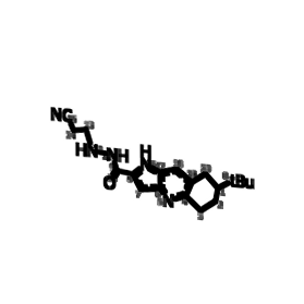 CC(C)(C)C1CCc2nc3cc(C(=O)NNCCC#N)[nH]c3cc2C1